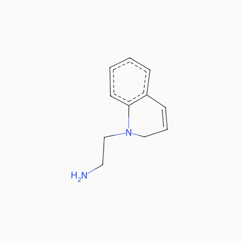 NCCN1CC=Cc2ccccc21